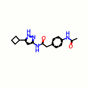 CC(=O)Nc1ccc(CC(=O)Nc2cc(C3CCC3)[nH]n2)cc1